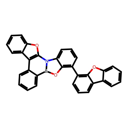 c1ccc2c(c1)B1Oc3c(-c4cccc5c4oc4ccccc45)cccc3N1c1oc3ccccc3c1-2